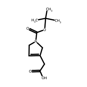 CC(C)(C)OC(=O)N1CC=C(CC(=O)O)C1